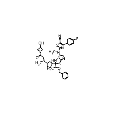 CC(OCc1ccccc1)C1(N2CCC(N(C)CC(=O)N3CC(O)C3)C2)Nn2c(N(C)c3nc(-c4ccc(F)cc4)c(C#N)s3)cnc2S1